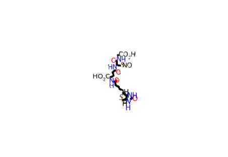 O=NSCC(NC(=O)CCC(NC(=O)CCCC[C@@H]1SC[C@@H]2NC(=O)N[C@@H]21)C(=O)O)C(=O)NCC(=O)O